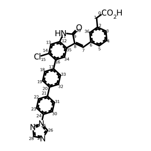 O=C(O)Cc1cccc(C=C2C(=O)Nc3cc(Cl)c(-c4ccc(-c5ccc(-n6cncn6)cc5)cc4)cc32)c1